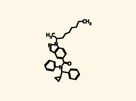 CCCCCCCC(C)n1ncc2cc(C(=O)N(c3ccccc3)C(c3ccccc3)C3CC3)ccc21